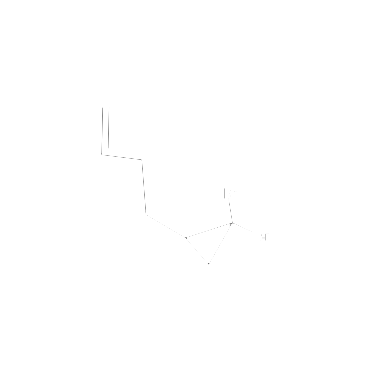 C=CCCC1CC1(Br)Br